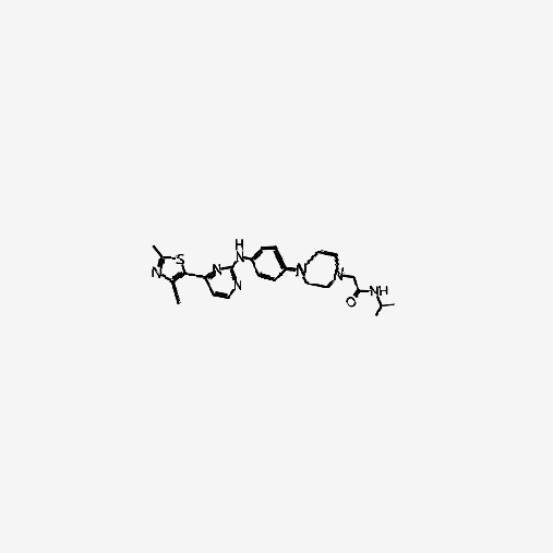 Cc1nc(C)c(-c2ccnc(Nc3ccc(N4CCN(CC(=O)NC(C)C)CC4)cc3)n2)s1